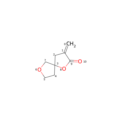 C=C1CC2(CCOC2)OC1=O